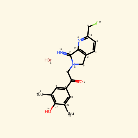 Br.CC(C)(C)c1cc(C(=O)CN2Cc3ccc(CF)nc3C2=N)cc(C(C)(C)C)c1O